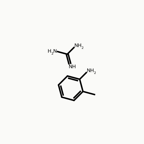 Cc1ccccc1N.N=C(N)N